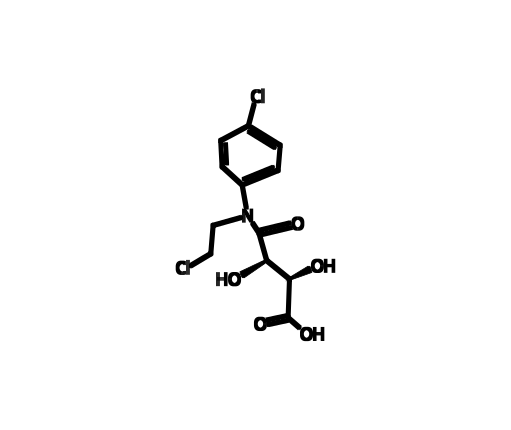 O=C(O)[C@H](O)[C@@H](O)C(=O)N(CCCl)c1ccc(Cl)cc1